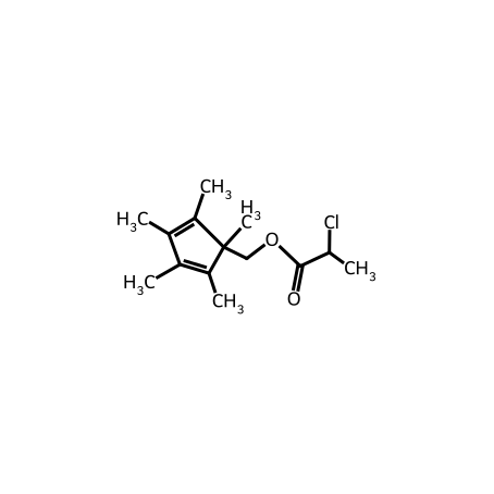 CC1=C(C)C(C)(COC(=O)C(C)Cl)C(C)=C1C